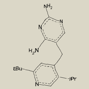 CC(C)c1cnc(C(C)(C)C)cc1Cc1cnc(N)nc1N